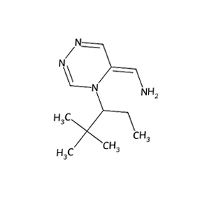 CCC(N1C=NN=C/C1=C/N)C(C)(C)C